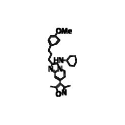 COc1ccc(CCCc2nc3cc(-c4c(C)noc4C)ccn3c2NC2CCCCC2)cc1